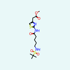 COC(=O)Cc1csc(NC(=O)CCCCNS(=O)(=O)C(C)(C)C)n1